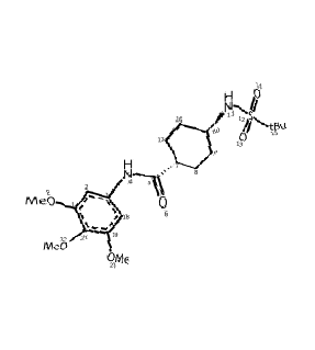 COc1cc(NC(=O)[C@H]2CC[C@H](NS(=O)(=O)C(C)(C)C)CC2)cc(OC)c1OC